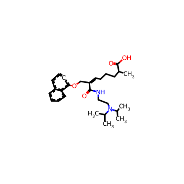 CC(CCCC=C(COc1cccc2ccccc12)C(=O)NCCN(C(C)C)C(C)C)C(=O)O